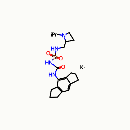 CC(C)N1CCC1CNS(=O)(=O)NC(=O)Nc1c2c(cc3c1CCC3)CCC2.[K]